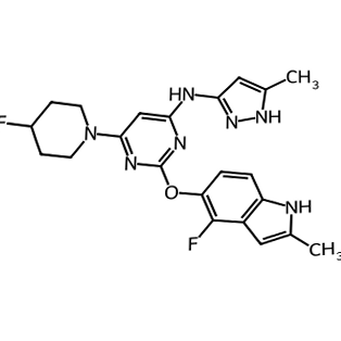 Cc1cc(Nc2cc(N3CCC(F)CC3)nc(Oc3ccc4[nH]c(C)cc4c3F)n2)n[nH]1